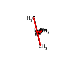 CCCCCCCCCCCCCCCCCCCC(=O)O[C@H](COC(=O)CCCCCCCCCCCCCCCCCC)COP(=O)([O-])OCC[N+](C)(C)C